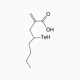 C=C(CC([TeH])CCCC)C(=O)O